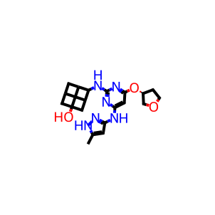 Cc1cc(Nc2cc(O[C@@H]3CCOC3)nc(NC3C4CC5CC6(O)CC3C546)n2)n[nH]1